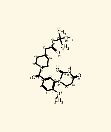 COc1ccc(C(=O)N2CCC(CC(=O)OC(C)(C)C)CC2)cc1N1CCC(=O)NC1=O